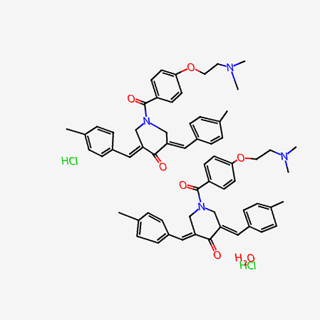 Cc1ccc(C=C2CN(C(=O)c3ccc(OCCN(C)C)cc3)CC(=Cc3ccc(C)cc3)C2=O)cc1.Cc1ccc(C=C2CN(C(=O)c3ccc(OCCN(C)C)cc3)CC(=Cc3ccc(C)cc3)C2=O)cc1.Cl.Cl.O